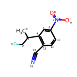 C[C](CF)c1cc([N+](=O)[O-])ccc1C#N